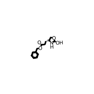 O=C(CC[C@@H]1COC(O)N1)OCc1ccccc1